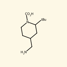 CC(C)(C)C1CC(CN)CCN1C(=O)O